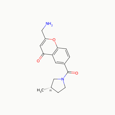 C[C@H]1CCN(C(=O)c2ccc3oc(CN)cc(=O)c3c2)C1